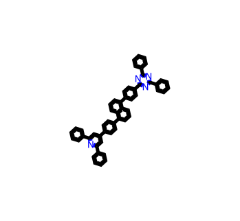 c1ccc(-c2cc(-c3ccc(-c4cccc5c(-c6ccc(-c7nc(-c8ccccc8)nc(-c8ccccc8)n7)cc6)cccc45)cc3)cc(-c3ccccc3)n2)cc1